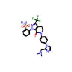 CN(C)Cc1nccn1-c1ccc(N2CCc3c(C(F)(F)F)nn(-c4ccccc4S(N)(=O)=O)c3C2=O)cc1